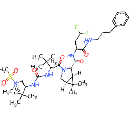 CN(C[C@@H](NC(=O)N[C@H](C(=O)N1C[C@H]2[C@@H]([C@H]1C(=O)N[C@@H](CC(F)F)C(=O)NCCCc1ccccc1)C2(C)C)C(C)(C)C)C(C)(C)C)S(C)(=O)=O